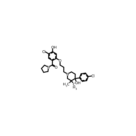 CC1(C)CN(CCCOc2cc(O)c(Cl)cc2C(=O)N2CCCC2)CCC1(O)c1ccc(Cl)cc1